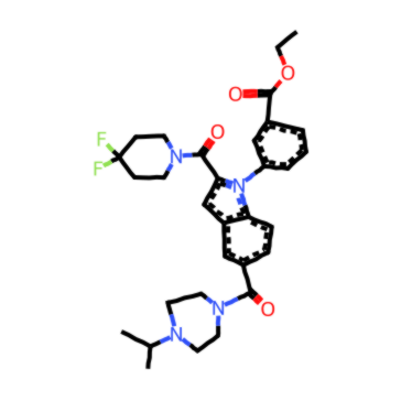 CCOC(=O)c1cccc(-n2c(C(=O)N3CCC(F)(F)CC3)cc3cc(C(=O)N4CCN(C(C)C)CC4)ccc32)c1